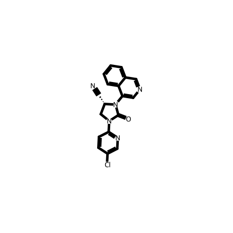 N#C[C@H]1CN(c2ccc(Cl)cn2)C(=O)N1c1cncc2ccccc12